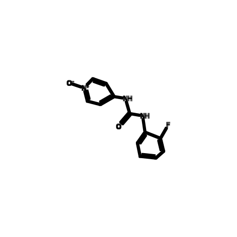 O=C(Nc1cc[n+]([O-])cc1)Nc1ccccc1F